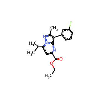 CCOC(=O)c1cc(C(C)C)n2nc(C)c(-c3cccc(F)c3)c2n1